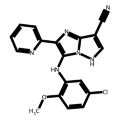 COc1ccc(Cl)cc1Nc1c(-c2ccccn2)nc2c(C#N)c[nH]n12